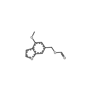 COc1cc(COC=O)cc2occc12